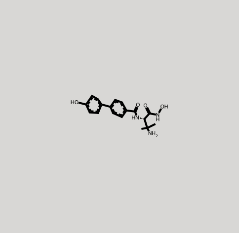 CC(C)(N)[C@H](NC(=O)c1ccc(-c2ccc(O)cc2)cc1)C(=O)NO